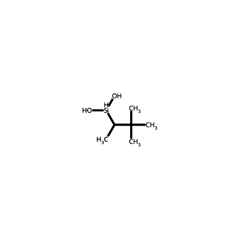 CC([SiH](O)O)C(C)(C)C